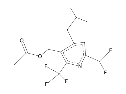 CC(=O)OCc1c(CC(C)C)cc(C(F)F)nc1C(F)(F)F